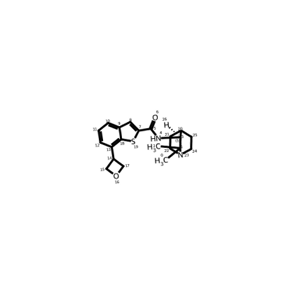 CC1(C)[C@@H](NC(=O)c2cc3cccc(C4COC4)c3s2)C2CCN1CC2